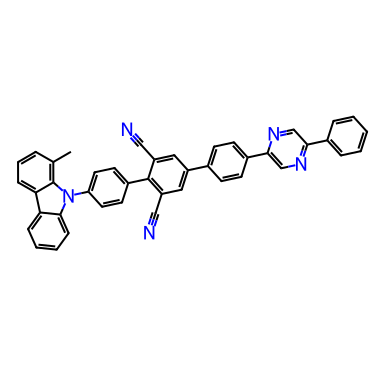 Cc1cccc2c3ccccc3n(-c3ccc(-c4c(C#N)cc(-c5ccc(-c6cnc(-c7ccccc7)cn6)cc5)cc4C#N)cc3)c12